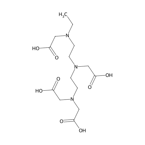 CCN(CCN(CCN(CC(=O)O)CC(=O)O)CC(=O)O)CC(=O)O